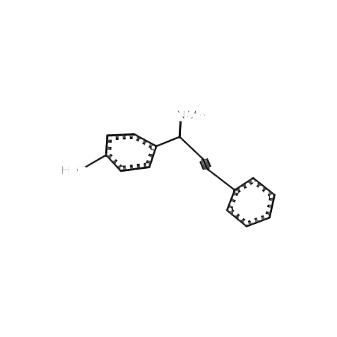 CNC(C#Cc1ccccc1)c1ccc(C)cc1